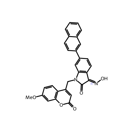 COc1ccc2c(CN3C(=O)/C(=N/O)c4ccc(-c5ccc6ccccc6c5)cc43)cc(=O)oc2c1